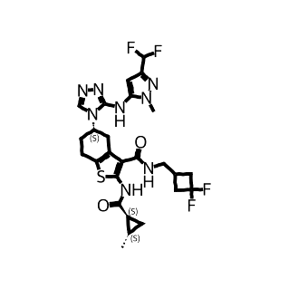 C[C@H]1C[C@@H]1C(=O)Nc1sc2c(c1C(=O)NCC1CC(F)(F)C1)C[C@@H](n1cnnc1Nc1cc(C(F)F)nn1C)CC2